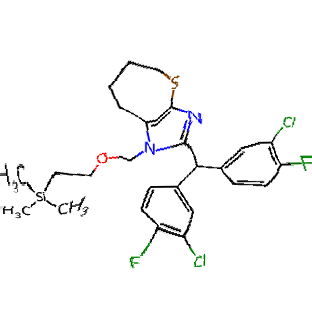 C[Si](C)(C)CCOCn1c(C(c2ccc(F)c(Cl)c2)c2ccc(F)c(Cl)c2)nc2c1CCCCS2